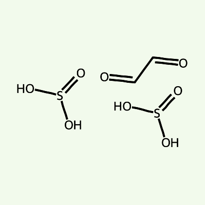 O=CC=O.O=S(O)O.O=S(O)O